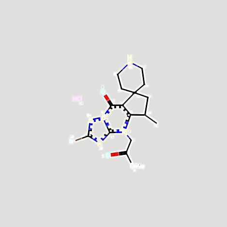 COC(=O)Cn1c2c(c(=O)n3nc(Br)nc13)C1(CCNCC1)CC2C.Cl